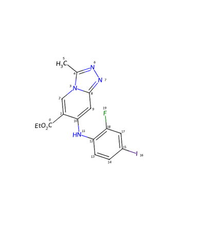 CCOC(=O)c1cn2c(C)nnc2cc1Nc1ccc(I)cc1F